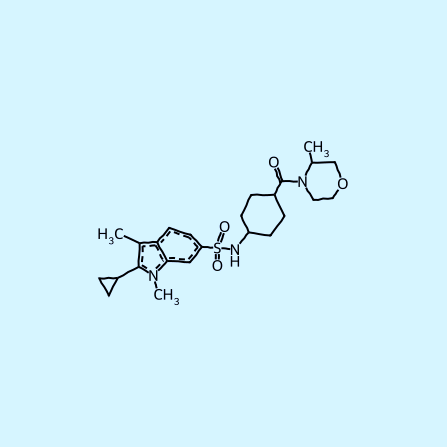 Cc1c(C2CC2)n(C)c2cc(S(=O)(=O)NC3CCC(C(=O)N4CCOCC4C)CC3)ccc12